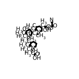 CC(=O)O.CC(=O)O.CC1CCCN(C)C1(C)C.CC1CCCN(C)C1(C)C.CC1CCCN(C)C1(C)C.N#CC(=O)O